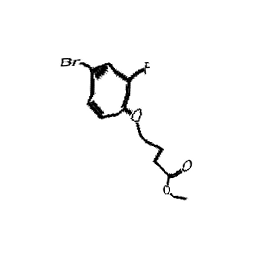 COC(=O)CCCOc1ccc(Br)cc1F